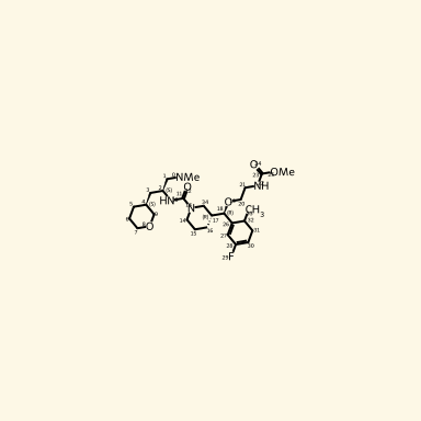 CNC[C@H](C[C@@H]1CCCOC1)NC(=O)N1CCC[C@@H]([C@@H](OCCNC(=O)OC)C2=CC(F)=CCC2C)C1